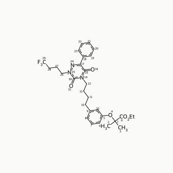 CCOC(=O)C(C)(C)Oc1cccc(CCCCn2c(=O)c(-c3ccccc3)nn(CCCC(F)(F)F)c2=O)c1